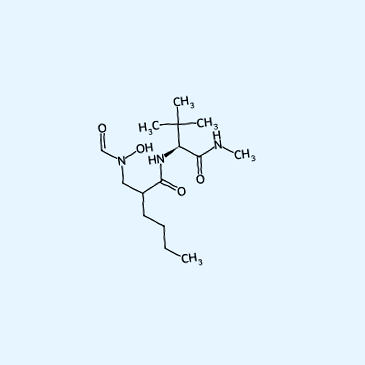 CCCCC(CN(O)C=O)C(=O)N[C@H](C(=O)NC)C(C)(C)C